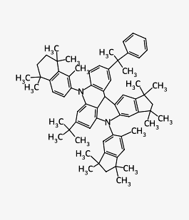 Cc1cc2c(cc1N1c3cc4c(cc3C3c5cc(C(C)(C)c6ccccc6)ccc5N(c5ccc6c(c5C)C(C)(C)CCC6(C)C)c5cc(C(C)(C)C)cc1c53)C(C)(C)CC4(C)C)C(C)(C)CC2(C)C